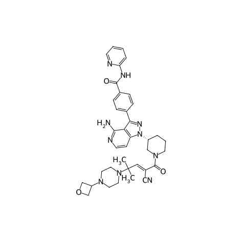 CC(C)(C=C(C#N)C(=O)N1CCC[C@@H](n2nc(-c3ccc(C(=O)Nc4ccccn4)cc3)c3c(N)nccc32)C1)N1CCN(C2COC2)CC1